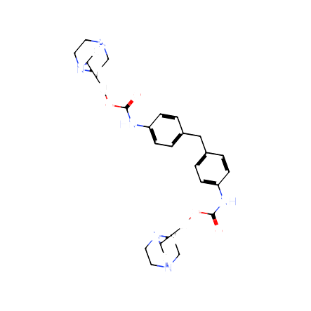 O=C(Nc1ccc(Cc2ccc(NC(=O)[O][U][CH]3CN4CC[N]3[Y][CH2]4)cc2)cc1)[O][U][CH]1CN2CC[N]1[Y][CH2]2